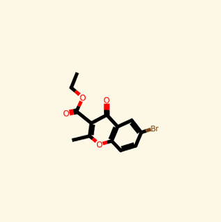 CCOC(=O)c1c(C)oc2ccc(Br)cc2c1=O